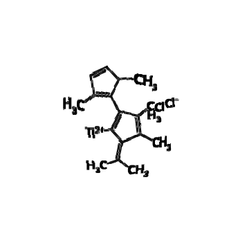 CC(C)=C1C(C)=C(C)C(C2=C(C)C=CC2C)=[C]1[Ti+2].[Cl-].[Cl-]